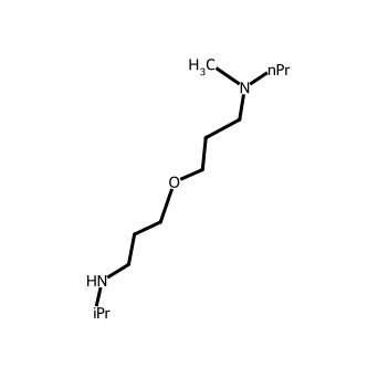 CCCN(C)CCCOCCCNC(C)C